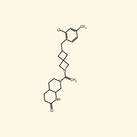 C=C(N1CCC2CCC(=O)NC2C1)N1CC2(CC(Cc3ccc(C)cc3Cl)C2)C1